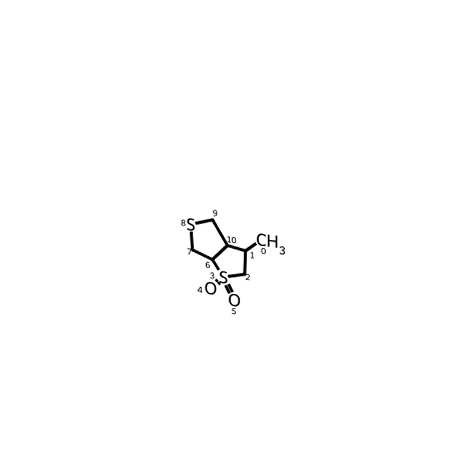 CC1CS(=O)(=O)C2CSCC12